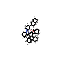 c1cc(-c2ccc3ccccc3c2)cc(-n2c3ccccc3c3c4c5ccccc5c5ccccc5c4c4c5ccccc5oc4c32)c1